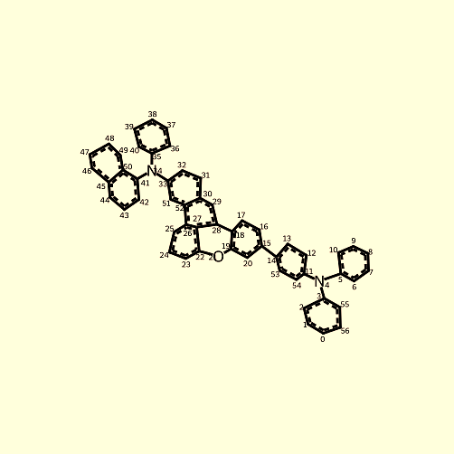 c1ccc(N(c2ccccc2)c2ccc(-c3ccc4c(c3)Oc3cccc5c3c-4cc3ccc(N(c4ccccc4)c4cccc6ccccc46)cc35)cc2)cc1